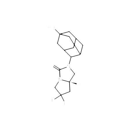 O=C1N(C2C3CC4CC2CC(O)(C4)C3)C[C@@H]2CC(F)(F)CN12